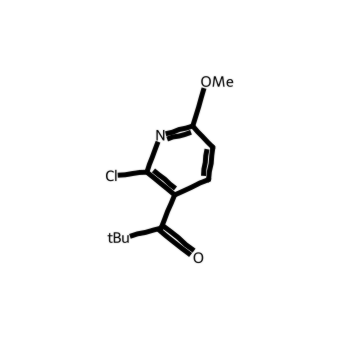 COc1ccc(C(=O)C(C)(C)C)c(Cl)n1